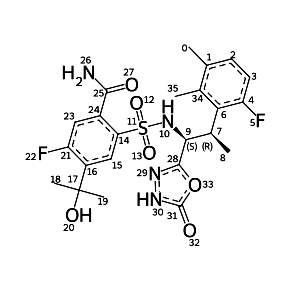 Cc1ccc(F)c([C@@H](C)[C@H](NS(=O)(=O)c2cc(C(C)(C)O)c(F)cc2C(N)=O)c2n[nH]c(=O)o2)c1C